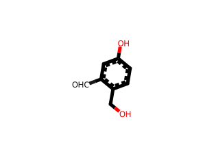 O=Cc1cc(O)ccc1CO